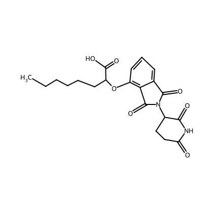 CCCCCCC(Oc1cccc2c1C(=O)N(C1CCC(=O)NC1=O)C2=O)C(=O)O